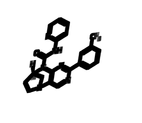 O=C(Nc1ccccn1)N1c2nc(-c3cccc(C(F)(F)F)c3)ncc2N2CC[C@H]1C2